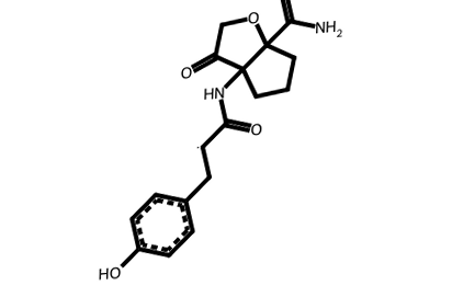 NC(=O)C12CCCC1(NC(=O)[CH]Cc1ccc(O)cc1)C(=O)CO2